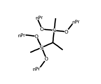 CCCO[Si](C)(OCCC)C(C)[Si](C)(OCCC)OCCC